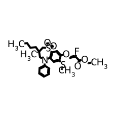 CCCC[C@]1(C)CN(c2ccccc2)c2cc(SC)c(O/C=C(\F)C(=O)OCC)cc2S(=O)(=O)C1